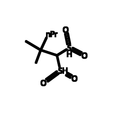 [CH2]CCC(C)(C)C([SH](=O)=O)[SH](=O)=O